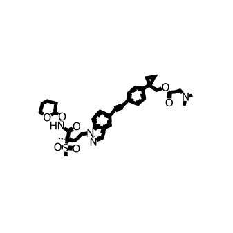 CN(C)CC(=O)OCC1(c2ccc(C#Cc3ccc4c(cnn4CC[C@](C)(C(=O)NOC4CCCCO4)S(C)(=O)=O)c3)cc2)CC1